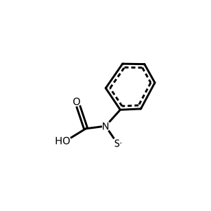 O=C(O)N([S])c1ccccc1